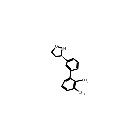 Cc1cccc(-c2cccc([C@H]3CCON3)c2)c1C